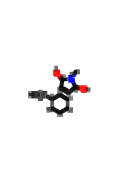 CN1C(=O)C=CC1=O.O=C(O)C1CCCCC1